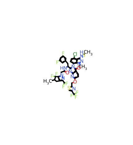 CSNc1nn(C)c2c(-n3c(C(Cc4cc(F)cc(F)c4)NC(=O)Cn4nc(C(F)F)c5c4C(F)(F)C(C)C5)nc4nc(OCc5nc(C(F)(F)F)cs5)ccc4c3=O)ccc(Cl)c12